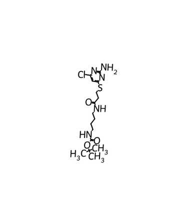 CC(C)(C)OC(=O)NCCCCNC(=O)CCSc1cc(Cl)nc(N)n1